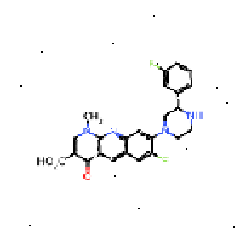 Cn1cc(C(=O)O)c(=O)c2cc3cc(F)c(N4CCNC(c5cccc(F)c5)C4)cc3nc21